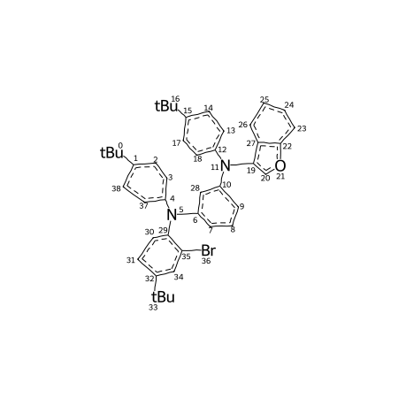 CC(C)(C)c1ccc(N(c2cccc(N(c3ccc(C(C)(C)C)cc3)c3coc4ccccc34)c2)c2ccc(C(C)(C)C)cc2Br)cc1